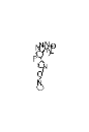 CC(C)n1c(=O)n(C)c2nnc3cc(F)c(-c4ccc(COCCN5CCCCC5)nc4)cc3c21